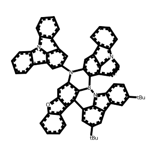 CC(C)(C)c1ccc2c(c1)c1cc(C(C)(C)C)cc3c1n2B1c2c(cc4oc5ccccc5c4c2-3)N(c2cc3c4ccccc4n4c5ccccc5c(c2)c34)c2cc3c4ccccc4n4c5ccccc5c(c21)c34